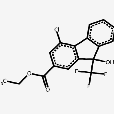 CCOC(=O)c1cc(Cl)c2c(c1)C(O)(C(F)(F)F)c1ccccc1-2